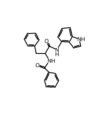 O=C(NC(Cc1ccccc1)C(=O)Nc1cccc2[nH]ccc12)c1ccccc1